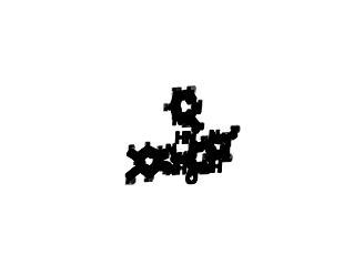 Cc1cc2nc(-c3c(NCc4ncccn4)c4nn(C)cc4[nH]c3=O)[nH]c2cc1C